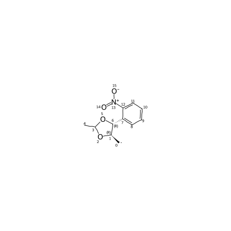 [CH2][C@H]1OC(C)O[C@@H]1c1ccccc1[N+](=O)[O-]